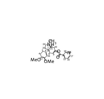 COC1=C(OC)CCC([C@@]23CC=C(OC(=O)c4cccnc4)C[C@@H]2N(C)CC3)=C1